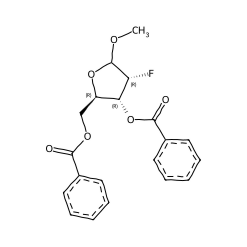 COC1O[C@H](COC(=O)c2ccccc2)[C@@H](OC(=O)c2ccccc2)[C@H]1F